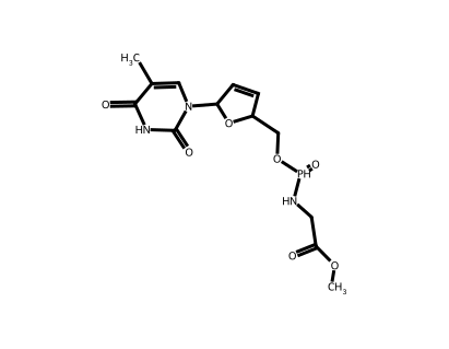 COC(=O)CN[PH](=O)OCC1C=CC(n2cc(C)c(=O)[nH]c2=O)O1